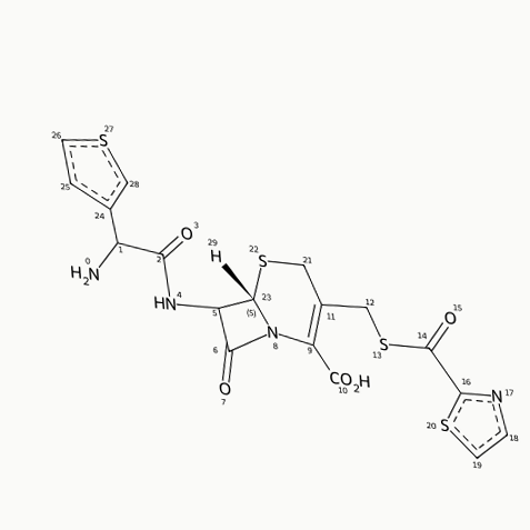 NC(C(=O)NC1C(=O)N2C(C(=O)O)=C(CSC(=O)c3nccs3)CS[C@@H]12)c1ccsc1